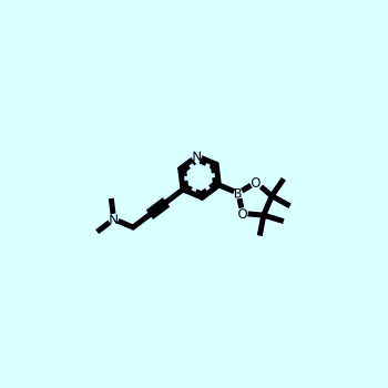 CN(C)CC#Cc1cncc(B2OC(C)(C)C(C)(C)O2)c1